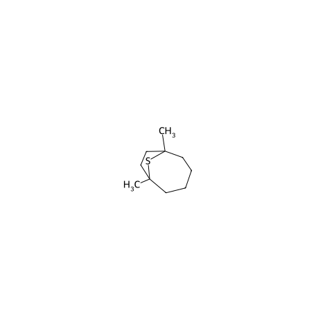 CC12CCCCC(C)(CC1)S2